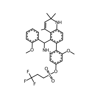 COc1cc(OS(=O)(=O)CCC(F)(F)F)ccc1-c1ccc2c(c1C(N)c1ccccc1OC)C(C)=CC(C)(C)N2